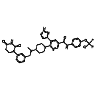 CN(Cc1cccc(N2CCC(=O)NC2=O)c1)C1CCN(c2ncc(C(=O)Nc3ccc(OC(F)(F)Cl)cc3)cc2-c2cc[nH]n2)CC1